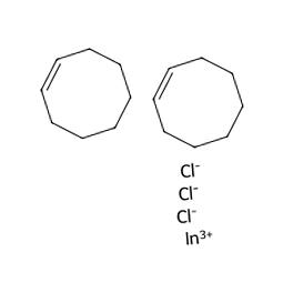 C1=CCCCCCC1.C1=CCCCCCC1.[Cl-].[Cl-].[Cl-].[In+3]